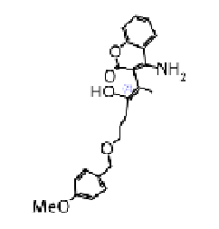 COc1ccc(COCCC/C(O)=C(\C)c2c(N)c3ccccc3oc2=O)cc1